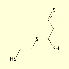 S=CCC(S)SCCS